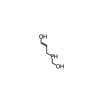 OC=CCPCO